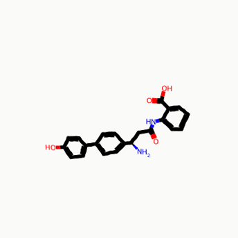 N[C@H](CC(=O)Nc1ccccc1C(=O)O)c1ccc(-c2ccc(O)cc2)cc1